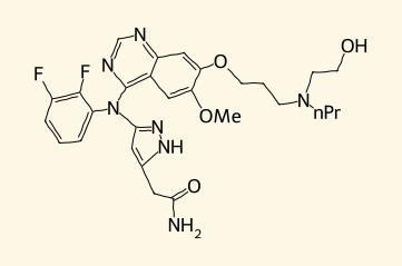 CCCN(CCO)CCCOc1cc2ncnc(N(c3cc(CC(N)=O)[nH]n3)c3cccc(F)c3F)c2cc1OC